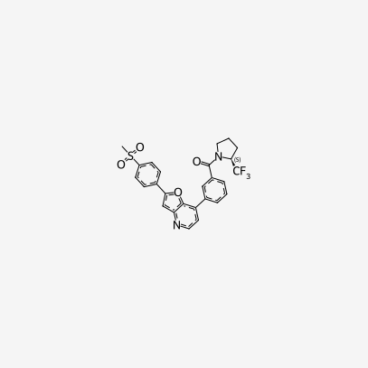 CS(=O)(=O)c1ccc(-c2cc3nccc(-c4cccc(C(=O)N5CCC[C@H]5C(F)(F)F)c4)c3o2)cc1